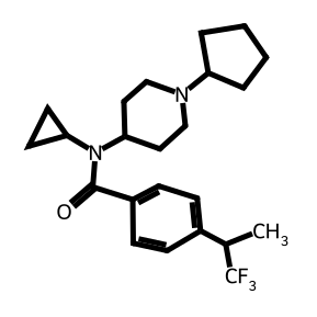 CC(c1ccc(C(=O)N(C2CC2)C2CCN(C3CCCC3)CC2)cc1)C(F)(F)F